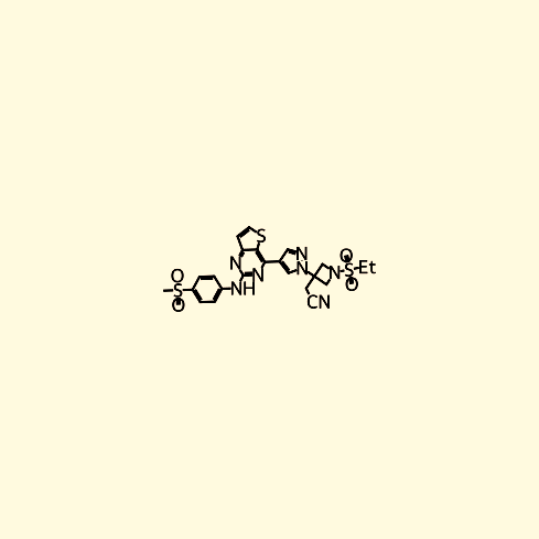 CCS(=O)(=O)N1CC(CC#N)(n2cc(-c3nc(Nc4ccc(S(C)(=O)=O)cc4)nc4ccsc34)cn2)C1